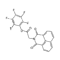 O=C(CN1C(=O)c2cccc3cccc(c23)C1=O)Oc1c(F)c(F)c(F)c(F)c1F